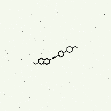 CCc1ccc2cc(C#Cc3ccc(C4CCC(CC)CC4)cc3)ccc2c1